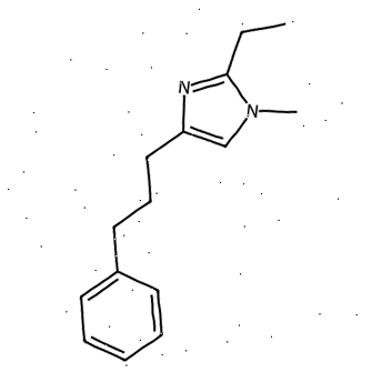 CCc1nc(CCCc2ccccc2)cn1C